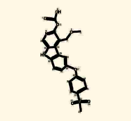 COCc1c(OC(=O)O)ncc2[nH]c3ccc(Oc4ccc(S(C)(=O)=O)cc4)cc3c12